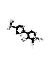 Cc1c(-c2ncc(B(O)O)cn2)ccn(C)c1=O